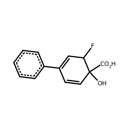 O=C(O)C1(O)C=CC(c2ccccc2)=CC1F